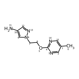 Cc1cnc(OCCn2cc(N)cn2)nc1